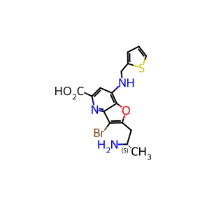 C[C@H](N)Cc1oc2c(NCc3cccs3)cc(C(=O)O)nc2c1Br